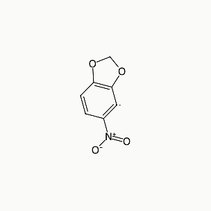 O=[N+]([O-])c1[c]c2c(cc1)OCO2